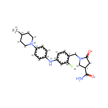 NC(=O)C1CC(=O)N(Cc2ccc(Nc3ccc(N4CCC(C(F)(F)F)CC4)cc3)cc2F)C1